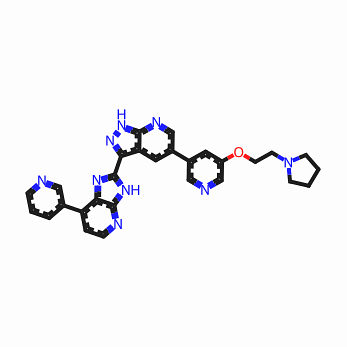 c1cncc(-c2ccnc3[nH]c(-c4n[nH]c5ncc(-c6cncc(OCCN7CCCC7)c6)cc45)nc23)c1